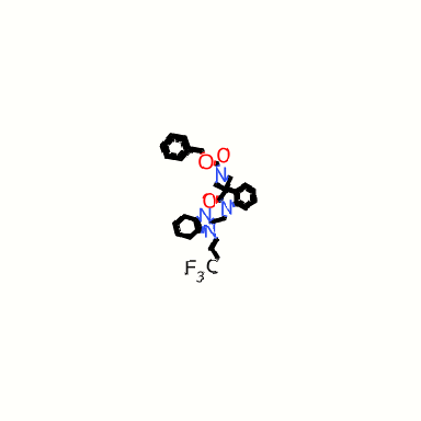 O=C(OCc1ccccc1)N1CC2(C1)C(=O)N(Cc1nc3c(n1CCCC(F)(F)F)CCCC3)c1ccccc12